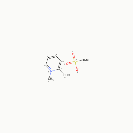 COS(=O)(=O)[O-].C[n+]1ccccc1C=O